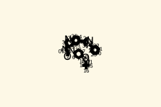 Cn1c(=O)n([C@H]2CC[C@H](O[Si](C)(C)C(C)(C)C)CC2)c2c3cc(-c4cnn(-c5ccccc5)c4)ccc3ncc21